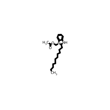 CCCCCCCCCCCC1Nc2ccccc2N1COC(C)=O